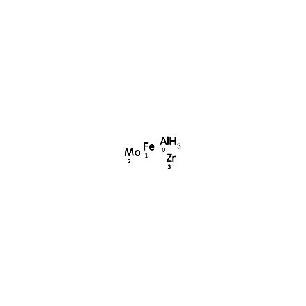 [AlH3].[Fe].[Mo].[Zr]